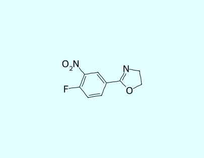 O=[N+]([O-])c1cc(C2=NCCO2)ccc1F